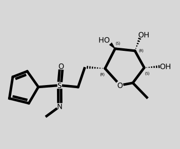 CN=S(=O)(CC[C@H]1OC(C)[C@@H](O)[C@@H](O)[C@@H]1O)C1C=CC=C1